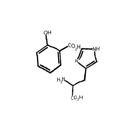 NC(Cc1c[nH]cn1)C(=O)O.O=C(O)c1ccccc1O